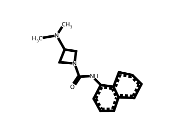 CN(C)C1CN(C(=O)Nc2cccc3ccccc23)C1